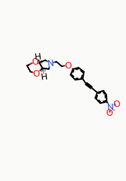 O=[N+]([O-])c1ccc(C#Cc2ccc(OCCN3C[C@@H]4OCCO[C@@H]4C3)cc2)cc1